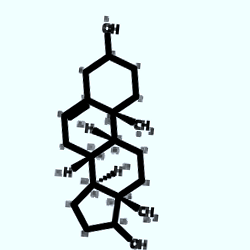 C[C@]12CCC(O)CC1=CC[C@@H]1[C@H]2CC[C@]2(C)C(O)CC[C@@H]12